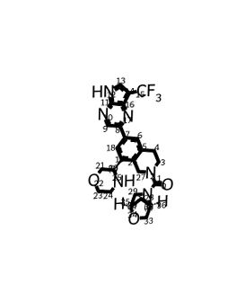 O=C(N1CCc2cc(-c3cnc4[nH]cc(C(F)(F)F)c4n3)cc([C@@H]3COCCN3)c2C1)N1C[C@H]2C[C@@H]1CO2